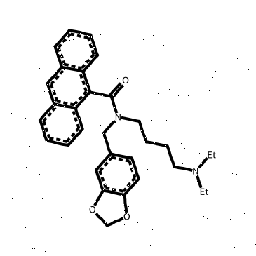 CCN(CC)CCCCN(Cc1ccc2c(c1)OCO2)C(=O)c1c2ccccc2cc2ccccc12